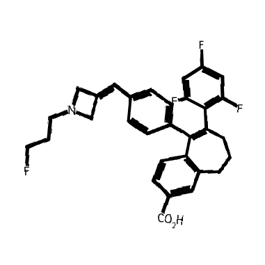 O=C(O)c1ccc2c(c1)CCCC(c1c(F)cc(F)cc1F)=C2c1ccc(C=C2CN(CCCF)C2)cc1